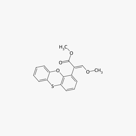 CO/C=C(/C(=O)OC)c1cccc2c1Oc1ccccc1S2